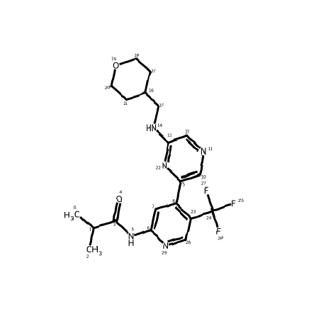 CC(C)C(=O)Nc1cc(-c2cncc(NCC3CCOCC3)n2)c(C(F)(F)F)cn1